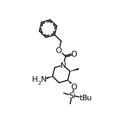 C[C@H]1[C@@H](O[Si](C)(C)C(C)(C)C)C[C@@H](N)CN1C(=O)OCc1ccccc1